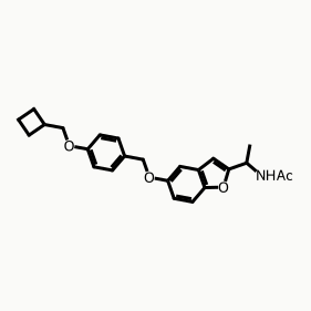 CC(=O)NC(C)c1cc2cc(OCc3ccc(OCC4CCC4)cc3)ccc2o1